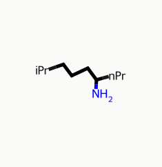 CCCC(N)CCCC(C)C